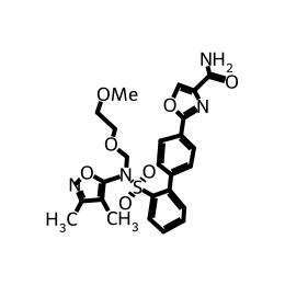 COCCOCN(c1onc(C)c1C)S(=O)(=O)c1ccccc1-c1ccc(-c2nc(C(N)=O)co2)cc1